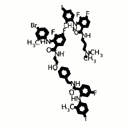 Cc1cc(Br)ccc1Nc1c(C(=O)NCCO)ccc(F)c1F.Cc1cc(I)ccc1Nc1c(C(=O)NCCCN(C)C)ccc(F)c1F.Cc1cc(I)ccc1Nc1cc(F)ccc1C(=O)NCc1ccccc1